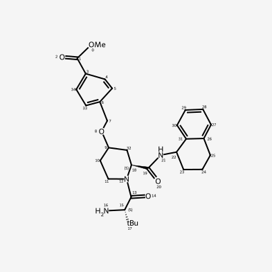 COC(=O)c1ccc(COC2CCN(C(=O)[C@@H](N)C(C)(C)C)[C@H](C(=O)NC3CCCc4ccccc43)C2)cc1